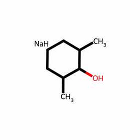 CC1CCCC(C)C1O.[NaH]